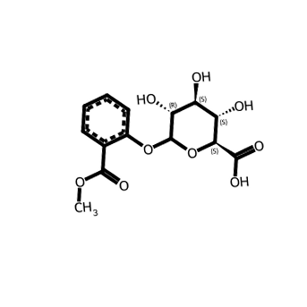 COC(=O)c1ccccc1OC1O[C@H](C(=O)O)[C@@H](O)[C@H](O)[C@H]1O